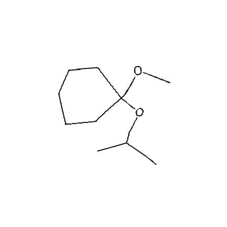 COC1(OC(C)C)CCCCC1